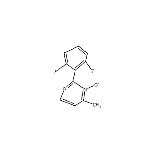 Cc1ccnc(-c2c(F)cccc2F)[n+]1[O-]